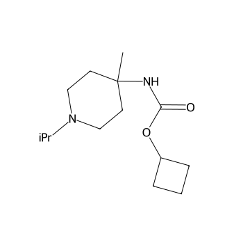 CC(C)N1CCC(C)(NC(=O)OC2CCC2)CC1